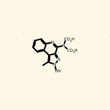 CCCn1nc2c(N(C(=O)O)C(=O)O)nc3ccccc3c2c1C